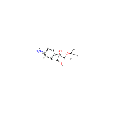 CC(C)(C)OCC(O)(C=O)c1ccc(N)cc1